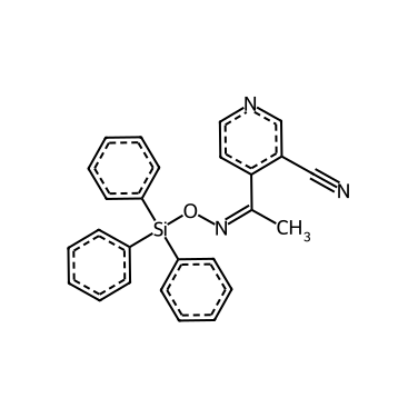 CC(=NO[Si](c1ccccc1)(c1ccccc1)c1ccccc1)c1ccncc1C#N